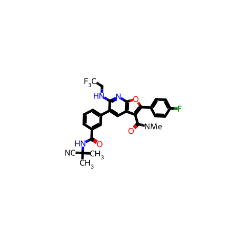 CNC(=O)c1c(-c2ccc(F)cc2)oc2nc(NCC(F)(F)F)c(-c3cccc(C(=O)NC(C)(C)C#N)c3)cc12